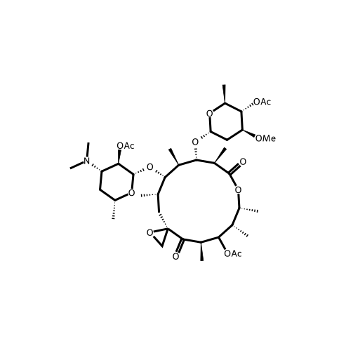 CO[C@H]1C[C@H](O[C@H]2[C@H](C)[C@@H](O[C@@H]3O[C@H](C)C[C@H](N(C)C)[C@H]3OC(C)=O)[C@@H](C)C[C@@]3(CO3)C(=O)[C@H](C)C(OC(C)=O)[C@@H](C)[C@@H](C)OC(=O)[C@@H]2C)O[C@@H](C)[C@@H]1OC(C)=O